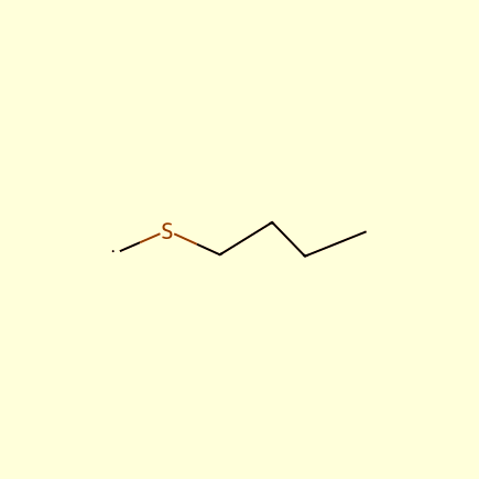 [CH2]SCCCC